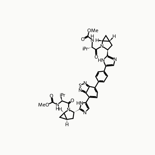 COC(=O)N[C@H](C(=O)N1[C@@H]2C[C@@H]2C[C@H]1c1ncc(-c2ccc(-c3ccc(-c4cnc([C@@H]5C[C@H]6C[C@H]6N5C(=O)[C@@H](NC(=O)OC)C(C)C)[nH]4)c4nsnc34)cc2)[nH]1)C(C)C